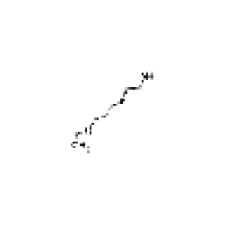 CCOCCCC=CCS